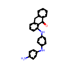 Nc1ccc(Nc2ccc(Nc3cccc4c3C(=O)c3ccccc3C4)cc2)cc1